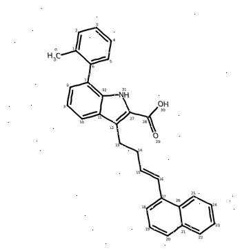 Cc1ccccc1-c1cccc2c(CCC=Cc3cccc4ccccc34)c(C(=O)O)[nH]c12